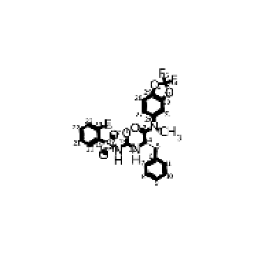 CN(C(=O)[C@H](Cc1ccccc1)NC(=O)NS(=O)(=O)c1ccccc1F)c1ccc2c(c1)OC(F)(F)O2